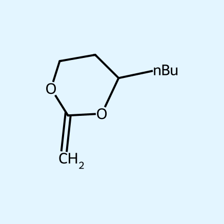 C=C1OCCC(CCCC)O1